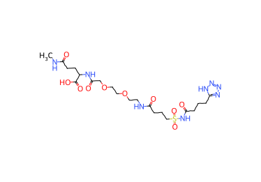 CNC(=O)CCC(NC(=O)COCCOCCNC(=O)CCCS(=O)(=O)NC(=O)CCCc1nnn[nH]1)C(=O)O